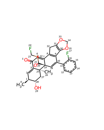 C[C@H]1C=C2C(=O)C=C3C4=C(C(c5ccccc5F)=C[C@]3(C(=O)SCF)[C@@]2(C)C[C@@H]1O)C1=C(C4)OCO1